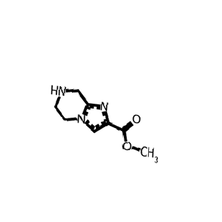 COC(=O)c1cn2c(n1)CNCC2